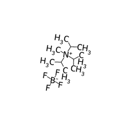 CC(C)[N+](C)(C(C)C)C(C)C.F[B-](F)(F)F